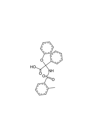 Cc1ccccc1S(=O)(=O)NC(Oc1ccccc1)(C(=O)O)c1ccccc1